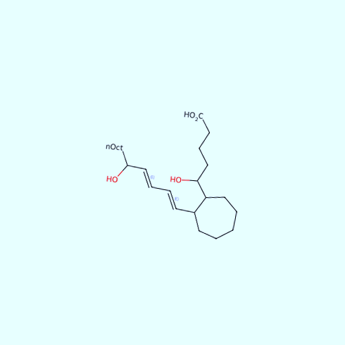 CCCCCCCCC(O)/C=C/C=C/C1CCCCCC1C(O)CCCC(=O)O